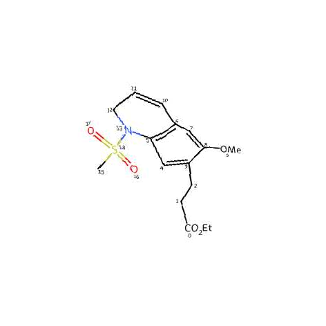 CCOC(=O)CCc1cc2c(cc1OC)C=CCN2S(C)(=O)=O